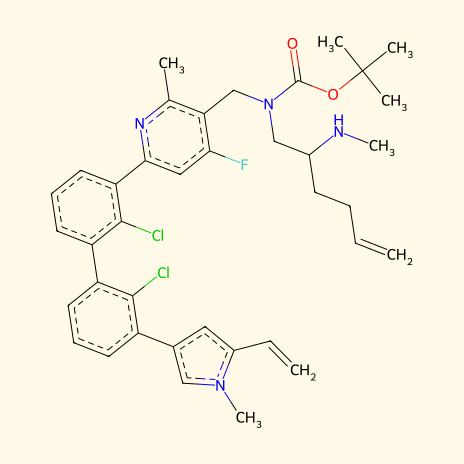 C=CCCC(CN(Cc1c(F)cc(-c2cccc(-c3cccc(-c4cc(C=C)n(C)c4)c3Cl)c2Cl)nc1C)C(=O)OC(C)(C)C)NC